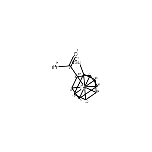 CC(C)C(=O)[C]12[CH]3[CH]4[CH]5[CH]1[Fe]45321678[CH]2[CH]1[CH]6[C]7(C(C)(C)C)[CH]28